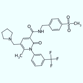 Cc1c(CN2CCCC2)cc(C(=O)NCc2ccc(S(C)(=O)=O)cc2)c(=O)n1-c1cccc(C(F)(F)F)c1